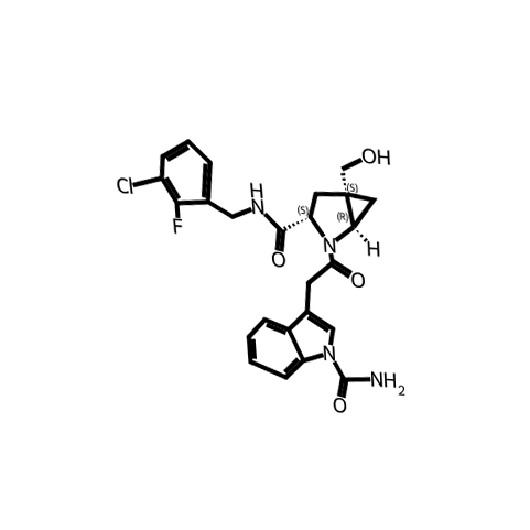 NC(=O)n1cc(CC(=O)N2[C@H](C(=O)NCc3cccc(Cl)c3F)C[C@@]3(CO)C[C@@H]23)c2ccccc21